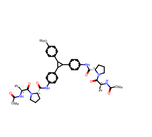 COC(=O)N[C@H](C(=O)N1CCC[C@H]1C(=O)Nc1ccc(C2C(c3ccc(NC(=O)[C@@H]4CCCN4C(=O)[C@@H](NC(=O)OC)C(C)C)cc3)C2c2ccc(OC)cc2)cc1)C(C)C